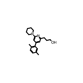 Cc1ccc(C)c(-c2cc(CCCO)nc(N3CCCCC3)c2)c1